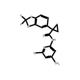 Cc1cc(Cl)nc(NC(=O)C2(c3ccc4c(c3)OC(F)(F)S4)CC2)c1